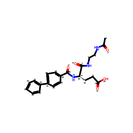 CC(=O)NCCNC(=O)[C@H](CCC(=O)O)NC(=O)c1ccc(-c2ccccc2)cc1